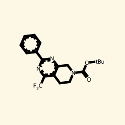 CC(C)(C)OC(=O)N1CCc2c(nc(-c3ccccc3)nc2C(F)(F)F)C1